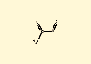 C[Si](=N)N=O